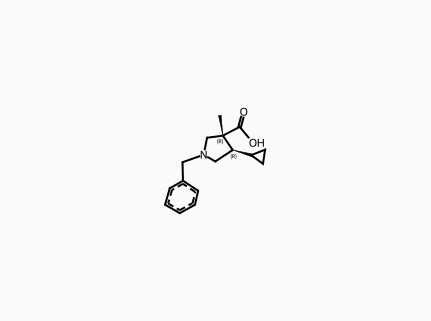 C[C@]1(C(=O)O)CN(Cc2ccccc2)C[C@@H]1C1CC1